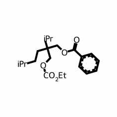 CCOC(=O)OCC(CCC(C)C)(COC(=O)c1ccccc1)C(C)C